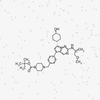 COC[C@H](C)Nc1ncc2c(-c3ccc(CN4CCN(C(=O)OC(C)(C)C)CC4)cc3)cc([C@H]3CC[C@H](O)CC3)n2n1